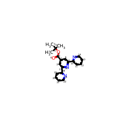 CC(C)(C)OC(=O)c1cc(-c2ccccn2)nc(-c2ccccn2)c1